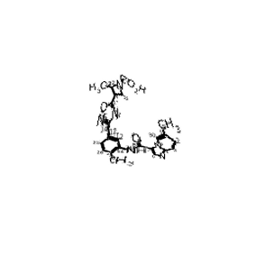 Cc1ccc2ncc(C(=O)Nc3cc(-c4noc(C5CN(C(=O)O)C5C)n4)ccc3C)n2c1